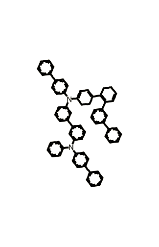 C1=CC(c2cccc(-c3ccccc3)c2)=C(C2=CC=C(N(c3ccc(-c4ccccc4)cc3)c3cccc(-c4cccc(N(c5ccccc5)c5ccc(-c6ccccc6)cc5)c4)c3)CC2)CC1